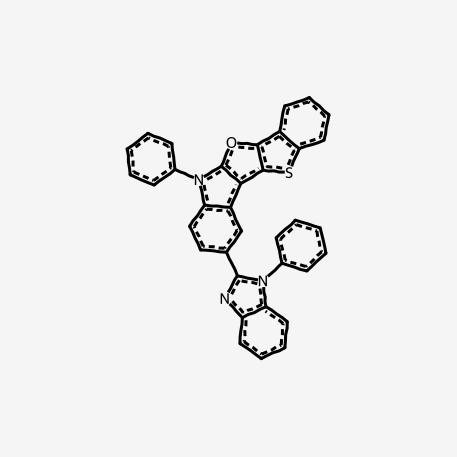 c1ccc(-n2c(-c3ccc4c(c3)c3c5sc6ccccc6c5oc3n4-c3ccccc3)nc3ccccc32)cc1